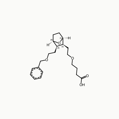 O=C(O)CCCOCC[C@H]1[C@@H](CCOCc2ccccc2)[C@H]2CC[C@@H]1O2